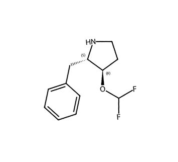 FC(F)O[C@@H]1CCN[C@H]1Cc1ccccc1